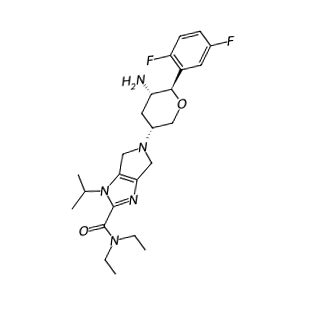 CCN(CC)C(=O)c1nc2c(n1C(C)C)CN([C@H]1CO[C@H](c3cc(F)ccc3F)[C@@H](N)C1)C2